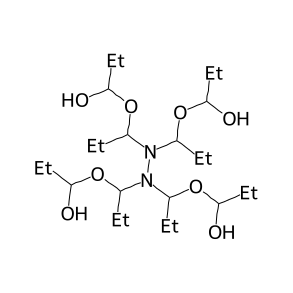 CCC(O)OC(CC)N(C(CC)OC(O)CC)N(C(CC)OC(O)CC)C(CC)OC(O)CC